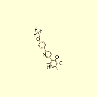 Cc1[nH]c(C)c(-c2ccc(-c3ccc(OCC(F)(F)F)cc3)nc2)c(=O)c1Cl